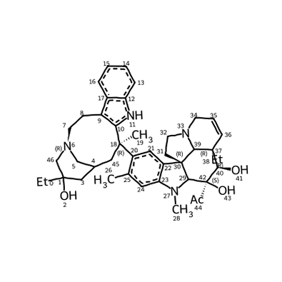 CCC1(O)CC2C[N@](CCc3c([nH]c4ccccc34)[C@@](C)(c3cc4c(cc3C)N(C)C3[C@]45CCN4CC=C[C@](CC)(C45)[C@@H](O)[C@]3(O)C(C)=O)C2)C1